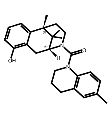 Cc1ccc2c(c1)CCCN2C(=O)N1CC[C@@]2(C)c3cccc(O)c3C[C@@H]1C2(C)C